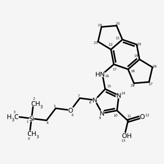 C[Si](C)(C)CCOCn1nc(C(=O)O)nc1Nc1c2c(cc3c1CCC3)CCC2